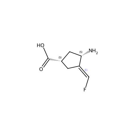 N[C@H]1C[C@@H](C(=O)O)C/C1=C\F